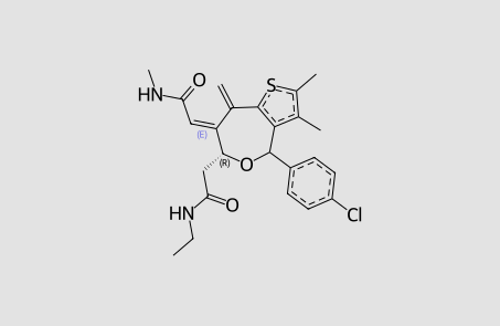 C=C1/C(=C\C(=O)NC)[C@@H](CC(=O)NCC)OC(c2ccc(Cl)cc2)c2c1sc(C)c2C